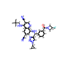 CC(C)(C)CNc1c(C#N)cnc2c(N[C@@H](c3cccc(C(=O)N4CC(F)C4)c3)c3cn(C4CC4)nn3)cc(C#N)cc12